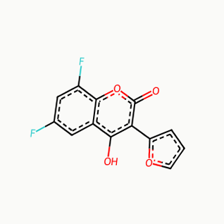 O=c1oc2c(F)cc(F)cc2c(O)c1-c1ccco1